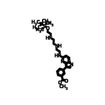 COC(=O)c1cccc(-c2cnn3ccc(NCCNCCNCCO[Si](C)(C)C(C)(C)C)nc23)c1